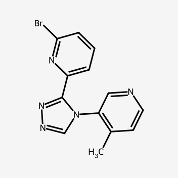 Cc1ccncc1-n1cnnc1-c1cccc(Br)n1